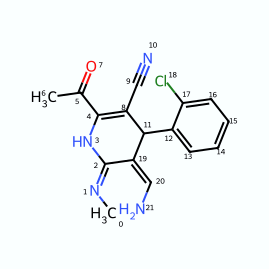 C/N=C1/NC(C(C)=O)=C(C#N)C(c2ccccc2Cl)/C1=C/N